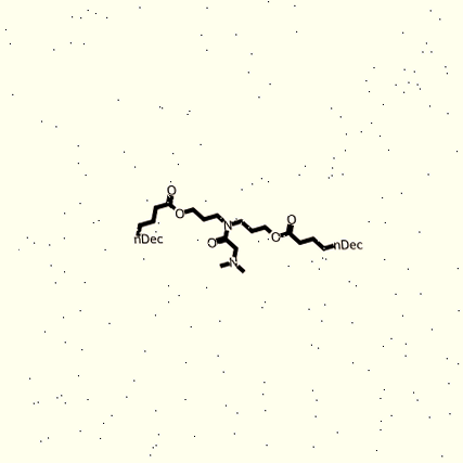 CCCCCCCCCCCCCC(=O)OCCCN(CCCOC(=O)CCCCCCCCCCCCC)C(=O)CN(C)C